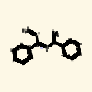 C=N/C(=N\C(=C)c1ccccc1)c1ccccc1